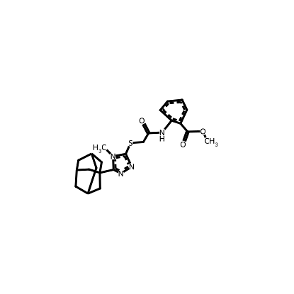 COC(=O)c1ccccc1NC(=O)CSc1nnc(C23CC4CC(CC(C4)C2)C3)n1C